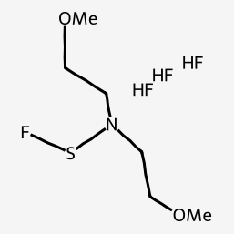 COCCN(CCOC)SF.F.F.F